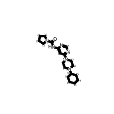 O=C(Nc1cc(N2CCN(C3CCCCC3)CC2)ncn1)N1CCCC1